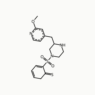 COc1cc(CC2CN(S(=O)(=O)C3=CC=CCC3=S)CCN2)ccn1